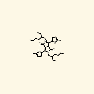 CCCCC(CC)CN1C(=O)C2=C(c3ccc(C)s3)N(CC(CC)CCCC)C(=O)C2=C1c1ccc(C)s1